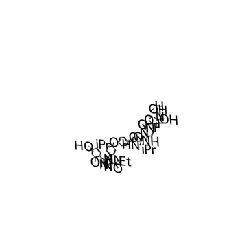 CCNC(=O)c1nnc(-c2cc(C(C)C)c(O)cc2O)n1-c1ccc(Oc2ccc(C(=O)N[C@H](C(=O)Nc3ccn([C@@H]4O[C@H](CO)[C@@H](NO)C4(F)F)c(=O)n3)C(C)C)cc2)cc1